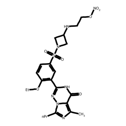 CCCc1nc(C)c2c(=O)[nH]c(-c3cc(S(=O)(=O)N4CC(NCCO[N+](=O)[O-])C4)ccc3OCC)nn12